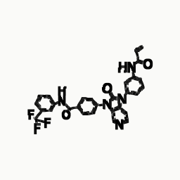 C=CC(=O)Nc1cccc(-n2c(=O)n(-c3ccc(C(=O)Nc4cccc(C(F)(F)F)c4)cc3)c3cnccc32)c1